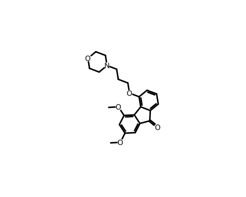 COc1cc(OC)c2c(c1)C(=O)c1cccc(OCCCN3CCOCC3)c1-2